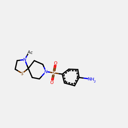 CC(=O)N1CCSC12CCN(S(=O)(=O)c1ccc(N)cc1)CC2